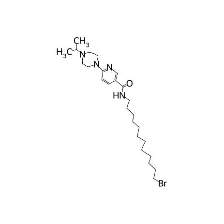 CC(C)N1CCN(c2ccc(C(=O)NCCCCCCCCCCCCBr)cn2)CC1